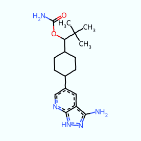 CC(C)(C)C(OC(N)=O)C1CCC(c2cnc3[nH]nc(N)c3c2)CC1